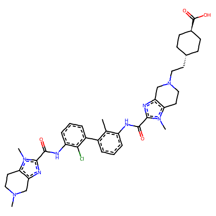 Cc1c(NC(=O)c2nc3c(n2C)CCN(CC[C@H]2CC[C@H](C(=O)O)CC2)C3)cccc1-c1cccc(NC(=O)c2nc3c(n2C)CCN(C)C3)c1Cl